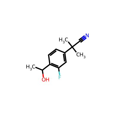 CC(O)c1ccc(C(C)(C)C#N)cc1F